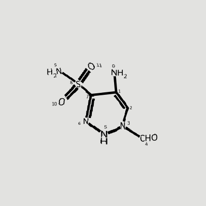 NC1=CN(C=O)NN=C1S(N)(=O)=O